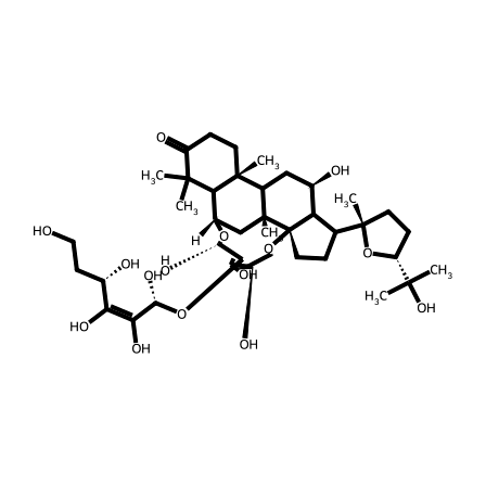 CC1(C)C(=O)CC[C@@]2(C)C1[C@@H]1C[C@]3(C)C2C[C@@H](O)C2C([C@]4(C)CC[C@H](C(C)(C)O)O4)CC[C@]23OCC[C@H](O)/C(O)=C(\O[C@@H](O)/C(O)=C(/O)[C@@H](O)CCO)[C@H](O)O1